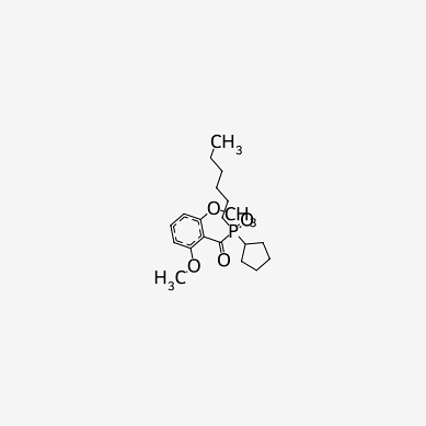 CCCCCCP(=O)(C(=O)c1c(OC)cccc1OC)C1CCCC1